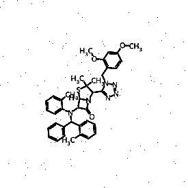 COc1ccc(Cn2nnnc2C2N3C(=O)C(N(c4ccccc4C)C(c4ccccc4)c4ccccc4C)[C@H]3SC2(C)C)c(OC)c1